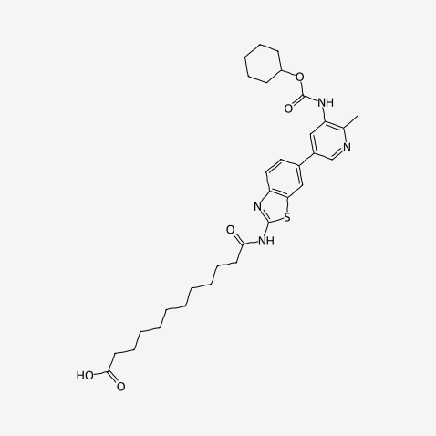 Cc1ncc(-c2ccc3nc(NC(=O)CCCCCCCCCCC(=O)O)sc3c2)cc1NC(=O)OC1CCCCC1